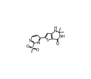 CC1(C)NC(=O)c2sc(-c3ccnc(S(C)(=O)=O)n3)cc2N1